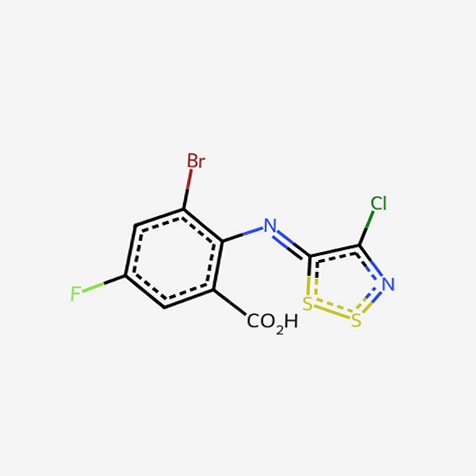 O=C(O)c1cc(F)cc(Br)c1N=c1ssnc1Cl